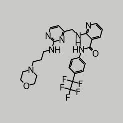 O=C(Nc1ccc(C(F)(F)C(F)(F)F)cc1)c1cccnc1NCc1ccnc(NCCCN2CCOCC2)n1